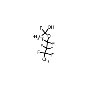 [CH2]C(O)(F)OC(F)(F)C(F)(F)C(F)(F)C(F)(F)F